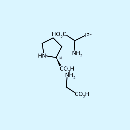 CC(C)C(N)C(=O)O.NCC(=O)O.O=C(O)[C@@H]1CCCN1